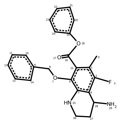 Cc1c(F)c2c(c(OCc3ccccc3)c1C(=O)Oc1ccccc1)NCCC2N